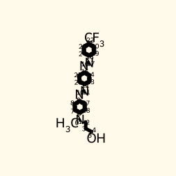 CN(CCCO)c1ccc(N=Nc2ccc(N=Nc3ccc(C(F)(F)F)cc3)cc2)cc1